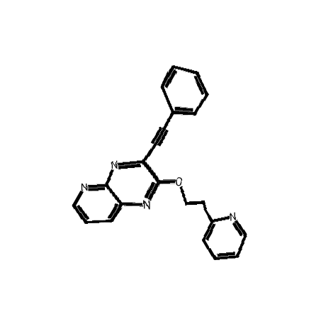 C(#Cc1nc2ncccc2nc1OCCc1ccccn1)c1ccccc1